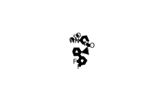 CS(=O)(=O)N[C@H]1CCCN(C(=O)[C@@H]2C[C@H]2c2ccccc2-c2cccc(F)c2F)C1